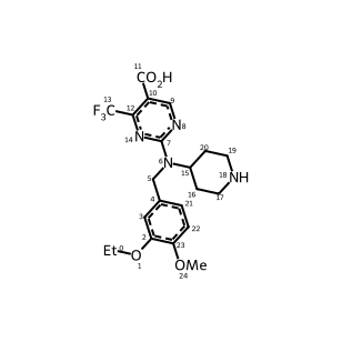 CCOc1cc(CN(c2ncc(C(=O)O)c(C(F)(F)F)n2)C2CCNCC2)ccc1OC